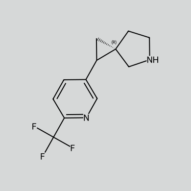 FC(F)(F)c1ccc(C2C[C@@]23CCNC3)cn1